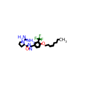 CCCC/C=C\CCOc1ccc(-c2noc([C@@H]3CCCN3C(N)N)n2)cc1C(F)(F)F